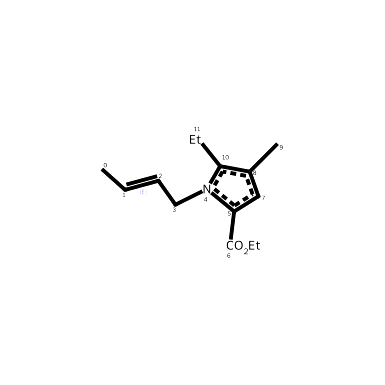 C/C=C/Cn1c(C(=O)OCC)cc(C)c1CC